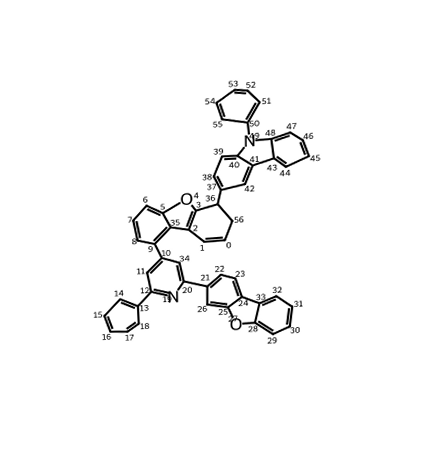 C1=Cc2c(oc3cccc(-c4cc(-c5ccccc5)nc(-c5ccc6c(c5)oc5ccccc56)c4)c23)C(c2ccc3c(c2)c2ccccc2n3-c2ccccc2)C1